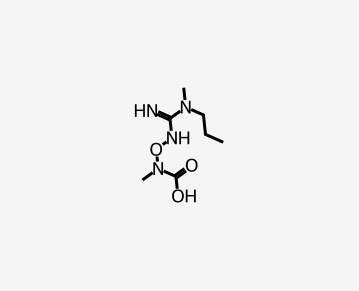 CCCN(C)C(=N)NON(C)C(=O)O